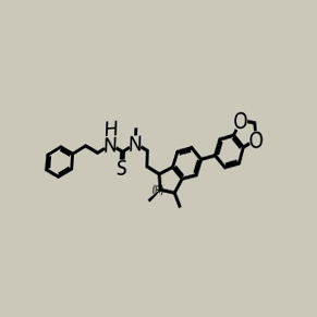 CC1c2cc(-c3ccc4c(c3)OCO4)ccc2C(CCN(C)C(=S)NCCc2ccccc2)[C@@H]1C